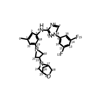 Cc1cc(Nc2ncn(-c3cc(F)cc(F)c3)n2)cc(N2CC(N3CC4CC3CO4)C2)c1